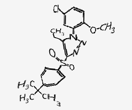 CCc1c(S(=O)(=O)c2ccc(C(C)(C)C)cc2)nnn1-c1cc(Cl)ccc1OC